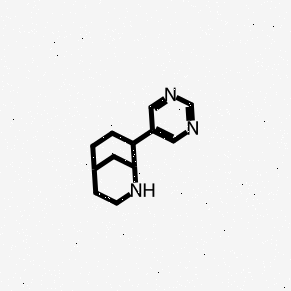 c1ncc(C2CCC3CCNC2C3)cn1